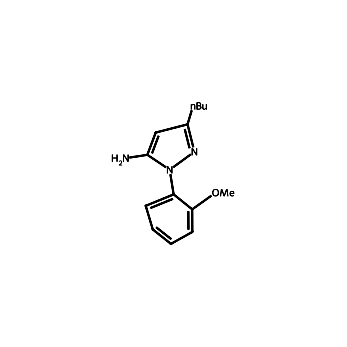 CCCCc1cc(N)n(-c2ccccc2OC)n1